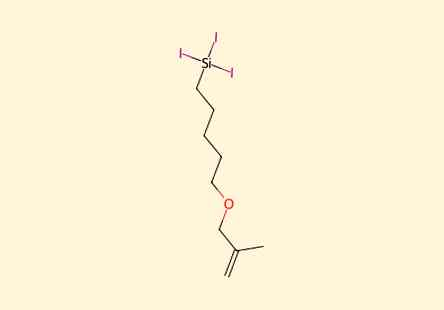 C=C(C)COCCCCC[Si](I)(I)I